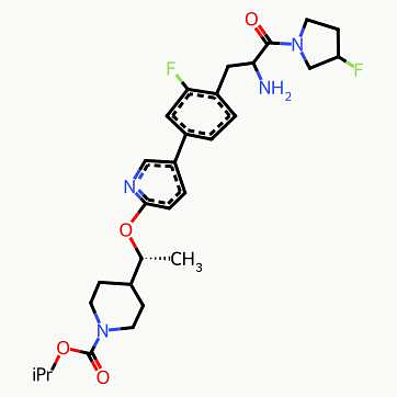 CC(C)OC(=O)N1CCC([C@@H](C)Oc2ccc(-c3ccc(CC(N)C(=O)N4CCC(F)C4)c(F)c3)cn2)CC1